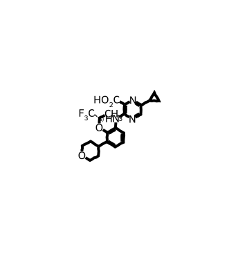 C[C@H](Oc1c(Nc2ncc(C3CC3)nc2C(=O)O)cccc1C1CCOCC1)C(F)(F)F